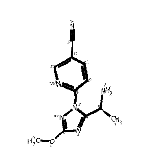 COc1nc([C@H](C)N)n(-c2ccc(C#N)cn2)n1